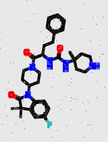 CC1(NC(=O)NC(CCc2ccccc2)C(=O)N2CCC(N3C(=O)C(C)(C)c4cc(F)ccc43)CC2)CCNCC1